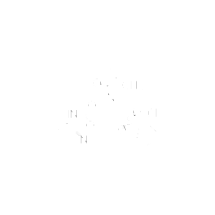 CC1(C(=O)N2C[C@H](S(=O)(=O)c3ccccc3Cl)C[C@@H]2OC(=O)NC2(C#N)CC2)CC1